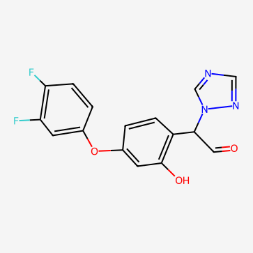 O=CC(c1ccc(Oc2ccc(F)c(F)c2)cc1O)n1cncn1